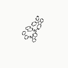 c1ccc(-c2cccc(-n3c4ccccc4c4ccc(N(c5ccc6c(c5)C(c5ccccc5)(c5ccccc5)c5ccccc5-6)c5ccc6ccccc6c5)cc43)c2)cc1